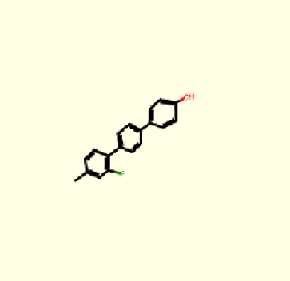 Cc1ccc(-c2ccc(-c3ccc(O)cc3)cc2)c(F)c1